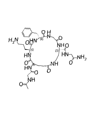 CC(=O)NCC(=O)N[C@H]1CCC(=O)NCC[C@@H](C(=O)NCC(N)=O)NC(=O)CNC(=O)[C@@H](Cc2ccccc2)NC(=O)[C@H](CCCN)NC1=O